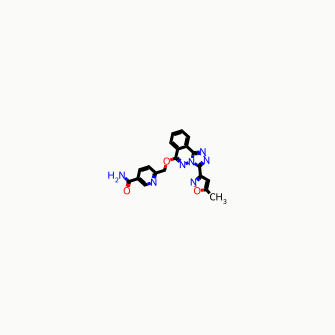 Cc1cc(-c2nnc3c4ccccc4c(OCc4ccc(C(N)=O)cn4)nn23)no1